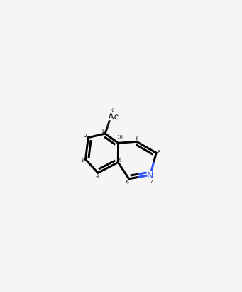 CC(=O)c1cccc2cnccc12